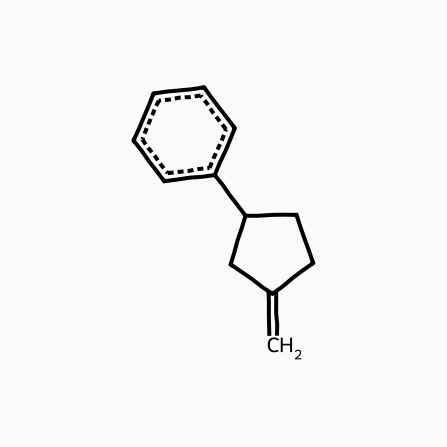 C=C1CCC(c2ccccc2)C1